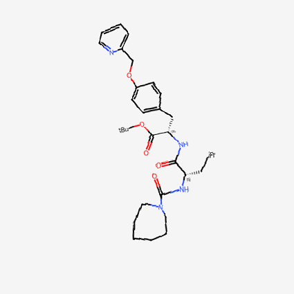 CC(C)C[C@H](NC(=O)N1CCCCCC1)C(=O)N[C@@H](Cc1ccc(OCc2ccccn2)cc1)C(=O)OC(C)(C)C